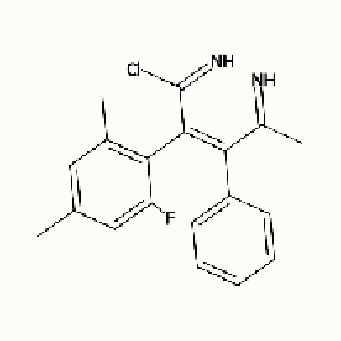 CC(=N)/C(=C(\C(=N)Cl)c1c(C)cc(C)cc1F)c1ccccc1